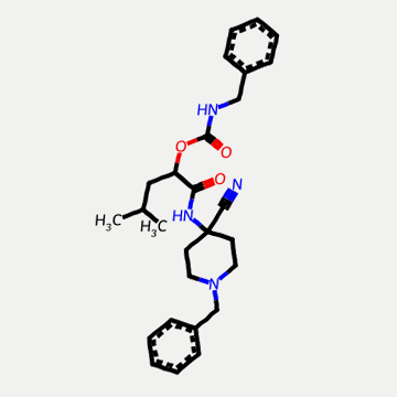 CC(C)CC(OC(=O)NCc1ccccc1)C(=O)NC1(C#N)CCN(Cc2ccccc2)CC1